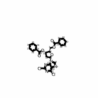 O=C(OC[C@H]1O[C@@H](n2cnc3c(Cl)nc(Cl)nc32)C[C@@H]1OC(=O)c1ccccc1)c1ccccc1